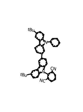 CC(C)(C)c1ccc2c(c1)c1ccc(-c3ccc4c(c3)c3cc(C(C)(C)C)ccc3n4-c3c(C#N)cccc3C#N)cc1n2-c1ccccc1